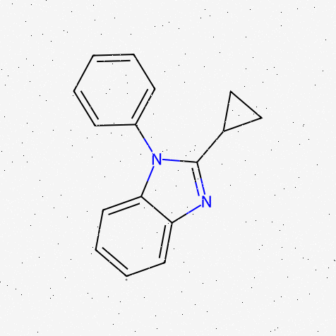 [c]1ccc2c(c1)nc(C1CC1)n2-c1ccccc1